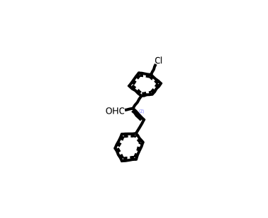 O=C/C(=C\c1ccccc1)c1ccc(Cl)cc1